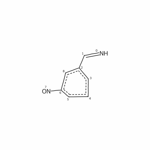 N=Cc1cccc(N=O)c1